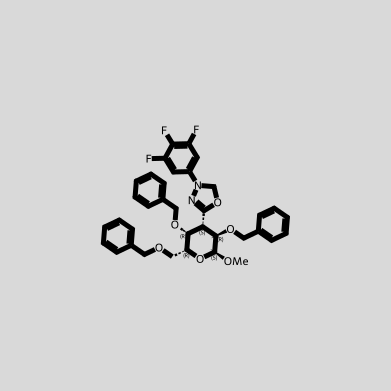 CO[C@H]1O[C@H](COCc2ccccc2)[C@H](OCc2ccccc2)[C@H](C2=NN(c3cc(F)c(F)c(F)c3)CO2)[C@H]1OCc1ccccc1